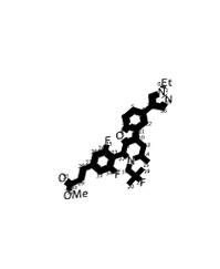 CCn1cc(-c2ccc3oc4c(c3c2)CC(C)N(CC(C)(C)F)C4c2c(F)cc(/C=C/C(=O)OC)cc2F)cn1